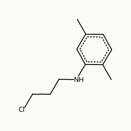 Cc1ccc(C)c(NCCCCl)c1